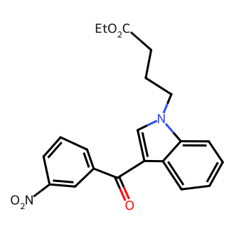 CCOC(=O)CCCn1cc(C(=O)c2cccc([N+](=O)[O-])c2)c2ccccc21